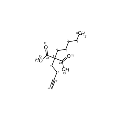 CCCCCC(CCC#N)(C(=O)O)C(=O)O